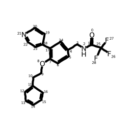 O=C(NCc1ccc(OCCc2ccccc2)c(-c2ccncc2)c1)C(F)(F)F